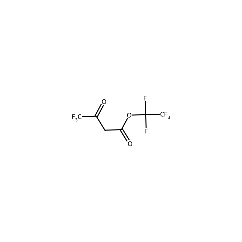 O=C(CC(=O)C(F)(F)F)OC(F)(F)C(F)(F)F